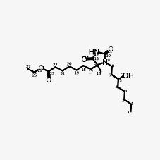 CCCCCC(O)CCN1C(=O)NC(=O)C1(C)CCCCCCC(=O)OCC